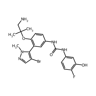 Cn1ncc(Br)c1-c1cc(NC(=O)Nc2ccc(F)c(O)c2)ccc1OC(C)(C)CN